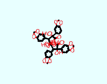 O=C(O)C(c1ccc2c(c1)OCO2)C(O)(C(=O)OC(=O)C(O)(c1ccc2c(c1)OCO2)C(C(=O)O)c1ccc2c(c1)OCO2)c1ccc2c(c1)OCO2